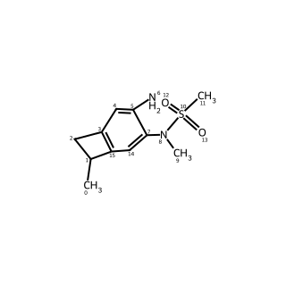 CC1Cc2cc(N)c(N(C)S(C)(=O)=O)cc21